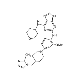 COc1cc(N2CCC(Cn3ccnc3C)CC2)ccc1Nc1nc(NC2CCOCC2)c2nc[nH]c2n1